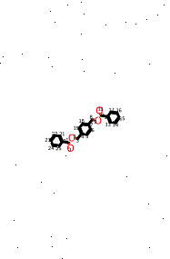 O=C(OCc1ccc(COC(=O)c2ccccc2)cc1)c1ccccc1